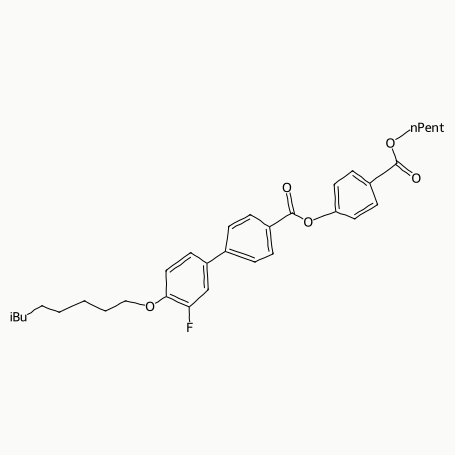 CCCCCOC(=O)c1ccc(OC(=O)c2ccc(-c3ccc(OCCCCCC(C)CC)c(F)c3)cc2)cc1